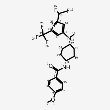 COc1ccc(C(=O)N[C@H]2CC[C@@H](N(C)c3cc(C(F)F)nc(C(F)(F)F)c3)CC2)cc1